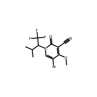 COc1c(Br)cn(C(C(C)C)C(F)(F)F)c(=O)c1C#N